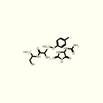 CC(C)CC(NC(=O)C(C)N)C(=O)O.Cc1ccc(OS(=O)(=O)O)cc1.NC(=O)NC1NC(=O)NC1=O